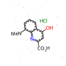 CNc1cccc2c(O)cc(C(=O)O)nc12.Cl